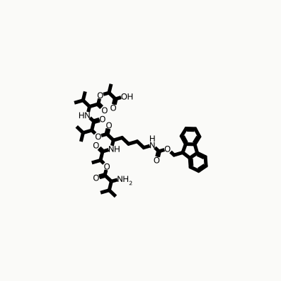 CC(OC(=O)C(NC(=O)C(OC(=O)C(CCCCNC(=O)OCC1c2ccccc2-c2ccccc21)NC(=O)C(C)OC(=O)C(N)C(C)C)C(C)C)C(C)C)C(=O)O